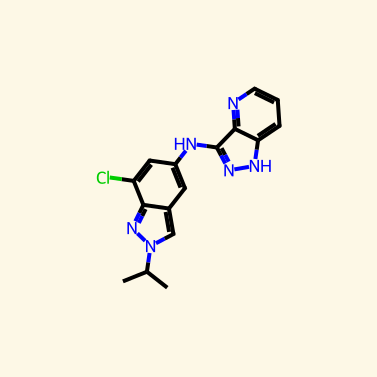 CC(C)n1cc2cc(Nc3n[nH]c4cccnc34)cc(Cl)c2n1